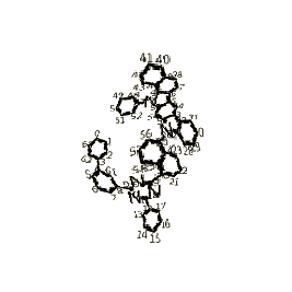 c1ccc(-c2cccc(-c3nc(-c4ccccc4)nc(-c4cccc5c(-n6c7ccccc7c7cc8c9ccc%10ccccc%10c9n(-c9ccccc9)c8cc76)cccc45)n3)c2)cc1